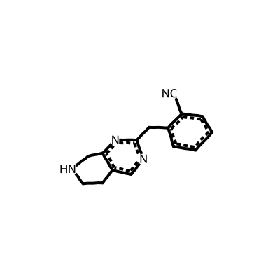 N#Cc1ccccc1Cc1ncc2c(n1)CNCC2